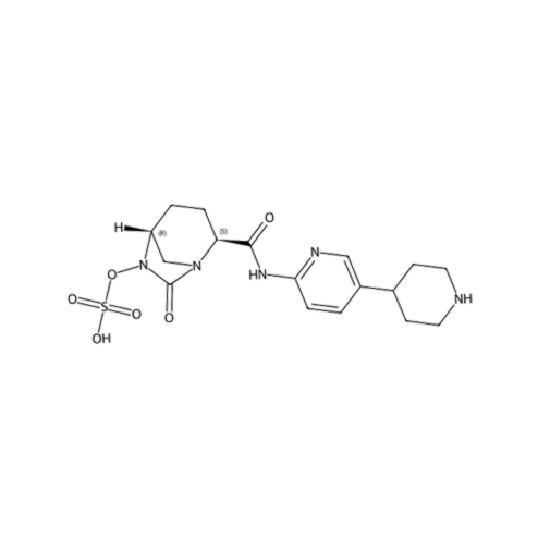 O=C(Nc1ccc(C2CCNCC2)cn1)[C@@H]1CC[C@@H]2CN1C(=O)N2OS(=O)(=O)O